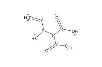 C=CC(S)C(C(C)=O)C(=O)O